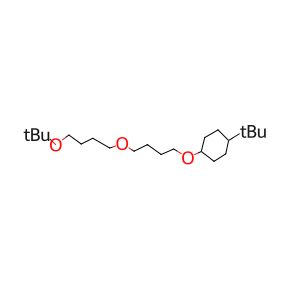 CC(C)(C)OCCCCOCCCCOC1CCC(C(C)(C)C)CC1